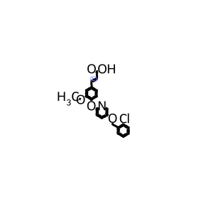 COc1cc(/C=C/C(=O)O)ccc1Oc1ccc(OCc2ccccc2Cl)cn1